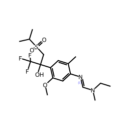 CCN(C)/C=N/c1cc(OC)c(C(O)(CS(=O)(=O)C(C)C)C(F)(F)F)cc1C